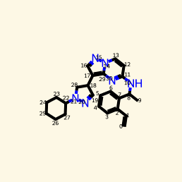 C=Cc1ccccc1C(C)Nc1ccn2ncc(C3C=NN(C4CCCCC4)C3)c2n1